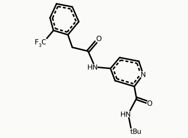 CC(C)(C)NC(=O)c1cc(NC(=O)Cc2ccccc2C(F)(F)F)ccn1